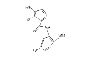 CCc1c(S)cccc1C(=O)Nc1cc(C(F)(F)F)ccc1NC